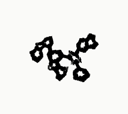 c1ccc(-c2nc(-c3ccc4ccccc4c3)nc(-c3cc(-c4cccc5sc6ccccc6c45)cc4oc5cccnc5c34)n2)cc1